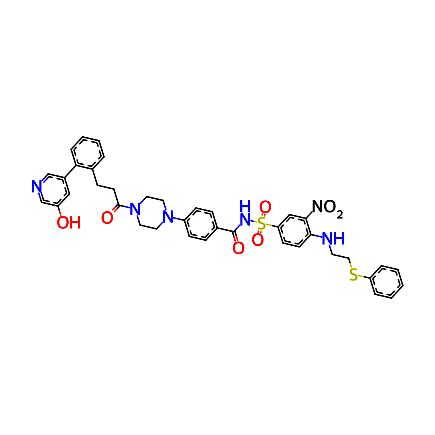 O=C(NS(=O)(=O)c1ccc(NCCSc2ccccc2)c([N+](=O)[O-])c1)c1ccc(N2CCN(C(=O)CCc3ccccc3-c3cncc(O)c3)CC2)cc1